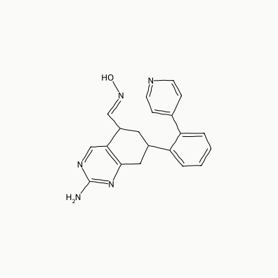 Nc1ncc2c(n1)CC(c1ccccc1-c1ccncc1)CC2C=NO